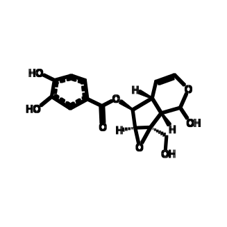 O=C(O[C@H]1[C@@H]2C=COC(O)[C@@H]2[C@@]2(CO)O[C@@H]12)c1ccc(O)c(O)c1